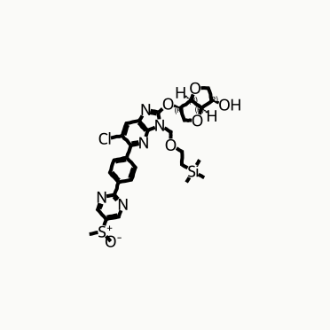 C[S+]([O-])c1cnc(-c2ccc(-c3nc4c(cc3Cl)nc(O[C@@H]3CO[C@H]5[C@@H]3OC[C@H]5O)n4COCC[Si](C)(C)C)cc2)nc1